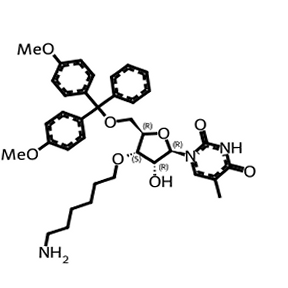 COc1ccc(C(OC[C@H]2O[C@@H](n3cc(C)c(=O)[nH]c3=O)[C@H](O)[C@@H]2OCCCCCCN)(c2ccccc2)c2ccc(OC)cc2)cc1